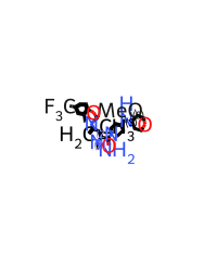 C=C(/C(C)=C(\N=C/N)C(=O)N1CCC(N[C@H]2CCOC[C@H]2OC)CC1)N1COc2ccc(C(F)(F)F)cc2C1